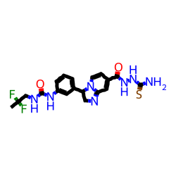 CC(F)(F)CNC(=O)Nc1cccc(C2CN=C3C=C(C(=O)NNC(N)=S)C=CN32)c1